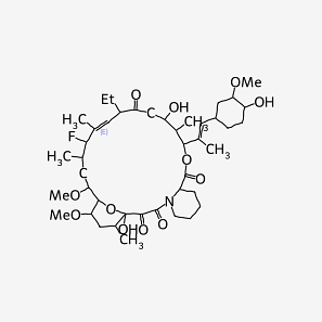 CCC1/C=C(\C)C(F)C(C)CC(OC)C2OC(O)(C(=O)C(=O)N3CCCCC3C(=O)OC(C(C)=CC3CCC(O)C(OC)C3)C(C)C(O)CC1=O)C(C)CC2OC